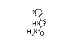 NC(=O)C1CSC(c2cccnc2)N1